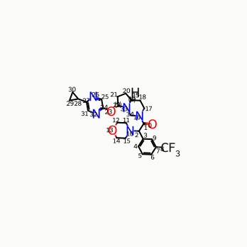 O=C(C(c1cccc(C(F)(F)F)c1)N1CCOCC1)N1CC[C@@H]2CC[C@H](Oc3cnc(C4CC4)cn3)N2C1